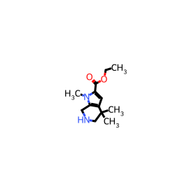 CCOC(=O)c1cc2c(n1C)CNCC2(C)C